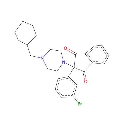 O=C1c2ccccc2C(=O)C1(c1cccc(Br)c1)N1CCN(CC2CCCCC2)CC1